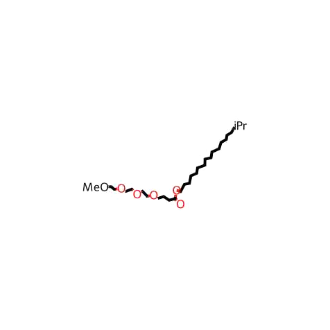 COCCOCCOCCOCCCC(=O)OCCCCCCCCCCCCCCCC(C)C